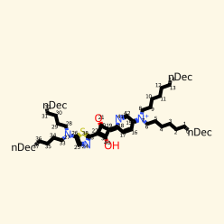 CCCCCCCCCCCCCCCC[N+](CCCCCCCCCCCCCCCC)=C1C=C/C(=C2/C(=O)C(c3ncc(N(CCCCCCCCCCCCCC)CCCCCCCCCCCCCC)s3)=C2O)N=C1